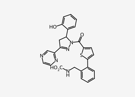 O=C(O)NCc1ccccc1-c1ccc(C(=O)N2N=C(c3cnccn3)CC2c2ccccc2O)s1